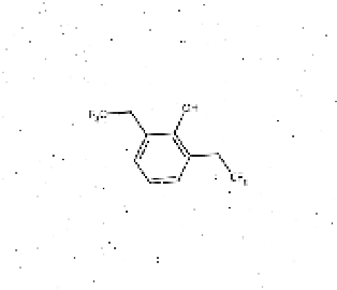 Oc1c(CC(F)(F)F)cccc1CC(F)(F)F